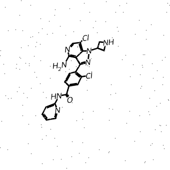 Nc1ncc(Cl)c2c1c(-c1ccc(C(=O)Nc3ccccn3)cc1Cl)nn2C1CNC1